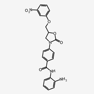 Nc1ccccc1NC(=O)c1ccc(N2CC(COc3cccc([N+](=O)[O-])c3)OC2=O)cc1